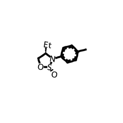 CC[C@@H]1COS(=O)N1c1ccc(C)cc1